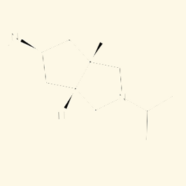 CC(C)N1C[C@H]2C[C@H](N)C[C@H]2C1